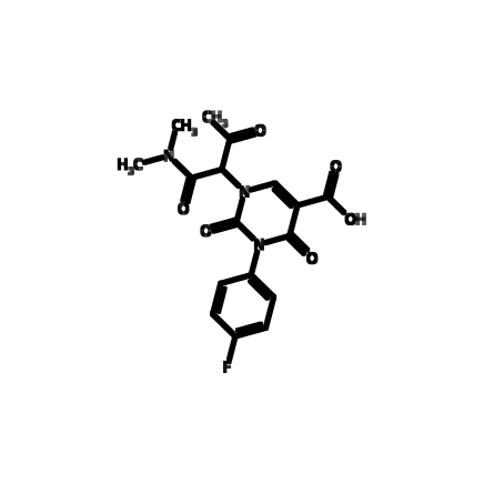 CC(=O)C(C(=O)N(C)C)n1cc(C(=O)O)c(=O)n(-c2ccc(F)cc2)c1=O